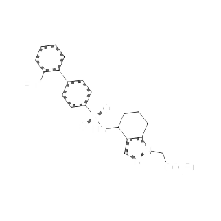 CCOC(=O)Cn1ncc2c1CCCC2NS(=O)(=O)c1ccc(-c2ccccc2C(F)(F)F)cc1